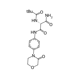 CC(C)(C)C(=O)N[C@H](C(N)=O)C(=O)Nc1ccc(N2CCOCC2=O)cc1